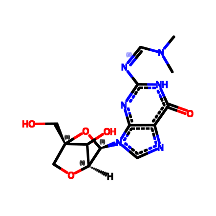 CN(C)/C=N\c1nc2c(ncn2[C@@H]2O[C@@]3(CO)CO[C@H]2C3O)c(=O)[nH]1